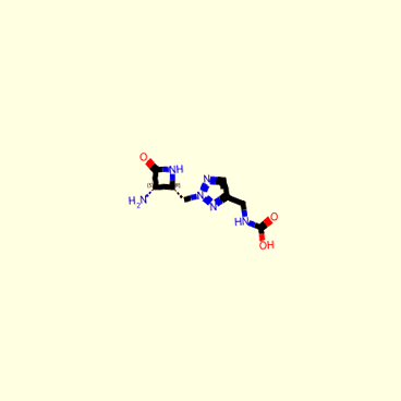 N[C@@H]1C(=O)N[C@@H]1Cn1ncc(CNC(=O)O)n1